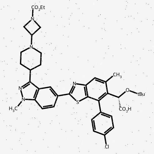 CCOC(=O)N1CC(N2CCC(c3nn(C)c4ccc(-c5nc6cc(C)c([C@H](OC(C)(C)C)C(=O)O)c(-c7ccc(Cl)cc7)c6s5)cc34)CC2)C1